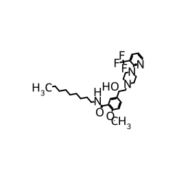 CCCCCCCCCNC(=O)c1cc(C(O)CN2CCN(c3ncccc3C(F)(F)F)CC2)ccc1OC